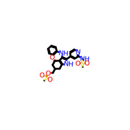 CS(=O)(=O)Nc1cc(-c2[nH]c3c(c2Nc2ccccc2)C(=O)CC(COS(C)(=O)=O)C3)ccn1